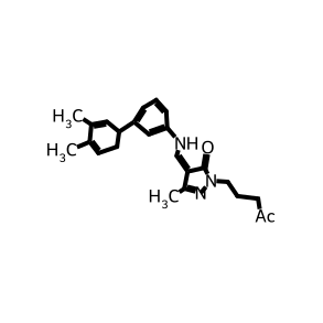 CC(=O)CCCN1N=C(C)/C(=C/Nc2cccc(C3C=C(C)C(C)=CC3)c2)C1=O